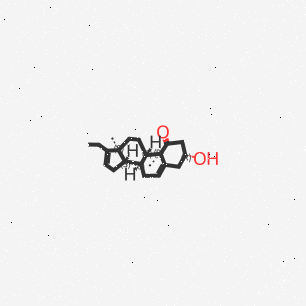 CCC1=CC[C@H]2[C@@H]3CC=C4C[C@@H](O)CC(=O)[C@]4(C)[C@H]3CC[C@]12C